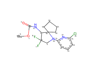 CC(C)(C)OC(=O)NC1C(F)(F)CN(c2cccc(Cl)n2)C12CCCC2